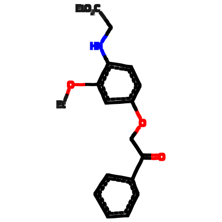 CCOC(=O)CNc1ccc(OCC(=O)c2ccccc2)cc1OCC